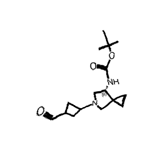 CC(C)(C)OC(=O)N[C@H]1CN(C2CC(C=O)C2)CC12CC2